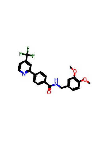 COc1ccc(CNC(=O)c2ccc(-c3cc(C(F)(F)F)ccn3)cc2)cc1OC